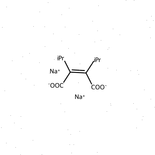 CC(C)C(C(=O)[O-])=C(C(=O)[O-])C(C)C.[Na+].[Na+]